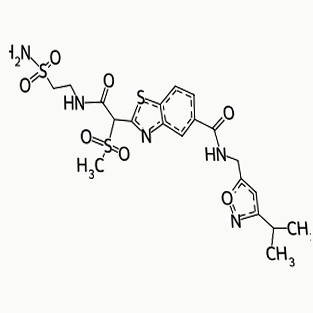 CC(C)c1cc(CNC(=O)c2ccc3sc(C(C(=O)NCCS(N)(=O)=O)S(C)(=O)=O)nc3c2)on1